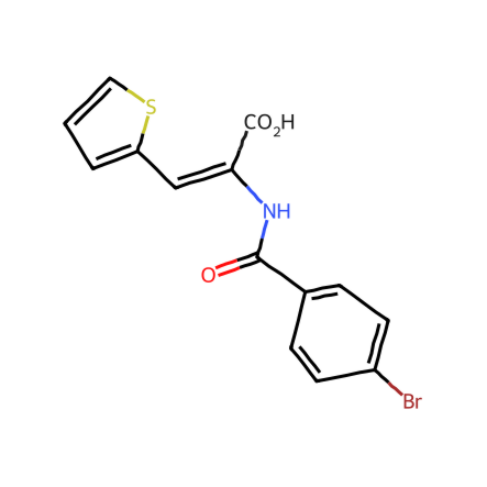 O=C(O)C(=Cc1cccs1)NC(=O)c1ccc(Br)cc1